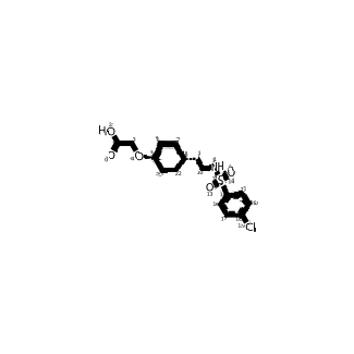 O=C(O)CO[C@H]1CC[C@H](CCNS(=O)(=O)c2ccc(Cl)cc2)CC1